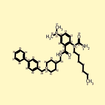 CCCCCCCN(C(N)=O)c1ccc(N(C)C)cc1C(=O)NCC1CCN(Cc2ccc(-c3ccccc3)cc2)CC1